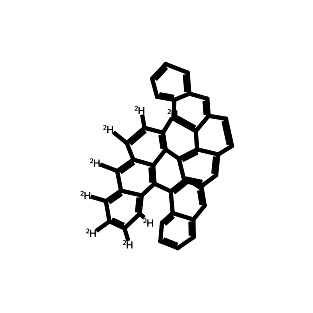 [2H]c1c([2H])c([2H])c2c(-c3cccc4ccccc34)c3c(-c4cccc5ccc6cc7ccccc7cc6c45)c([2H])c([2H])c([2H])c3c([2H])c2c1[2H]